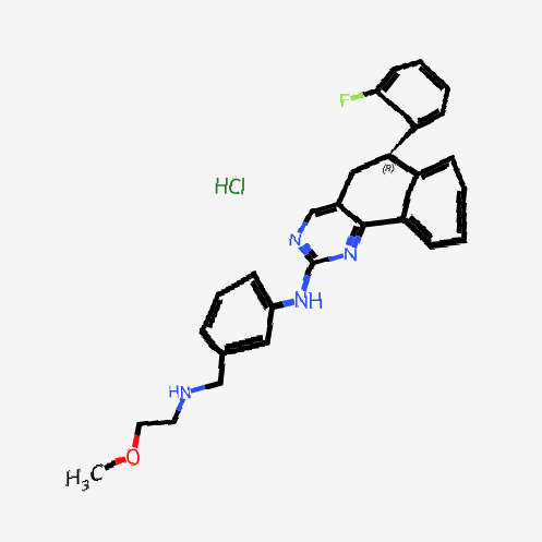 COCCNCc1cccc(Nc2ncc3c(n2)-c2ccccc2[C@H](c2ccccc2F)C3)c1.Cl